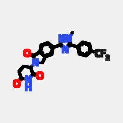 Cn1nc(-c2ccc3c(c2)CN(C2CCC(=O)NC2=O)C3=O)nc1-c1ccc(C(F)(F)F)cc1